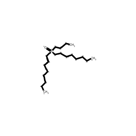 CCCCCCCCP(=O)(CCCC)CCCCCCCC